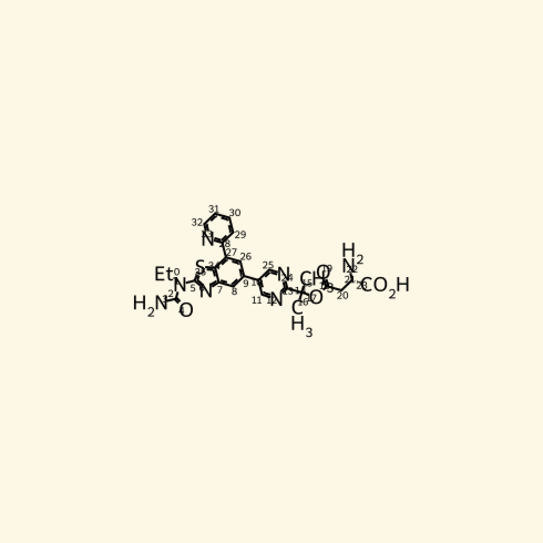 CCN(C(N)=O)c1nc2cc(-c3cnc(C(C)(C)OC(=O)C[C@H](N)C(=O)O)nc3)cc(-c3ccccn3)c2s1